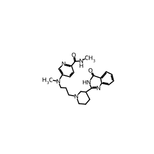 CNC(=O)c1ccc(N(C)CCCN2CCCC(c3nc4ccccc4c(=O)[nH]3)C2)cn1